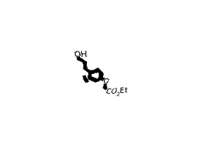 CC.CCOC(=O)COc1ccc(CCCO)cc1